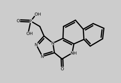 O=c1[nH]c2c3ccccc3ccc2n2c(CP(=O)(O)O)nnc12